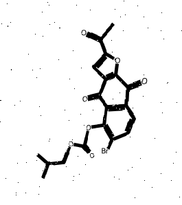 CC(=O)c1cc2c(o1)C(=O)c1ccc(Br)c(OC(=O)OCC(C)C)c1C2=O